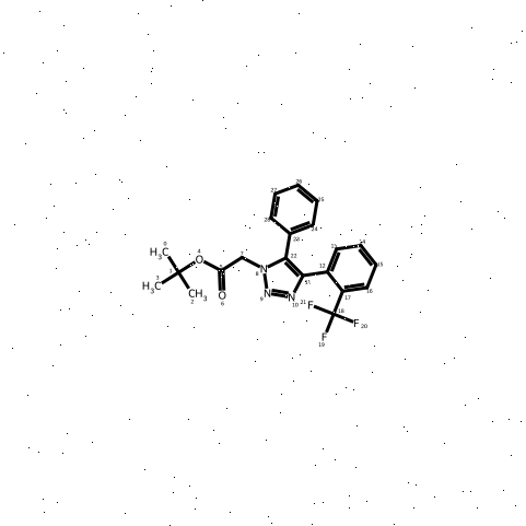 CC(C)(C)OC(=O)Cn1nnc(-c2ccccc2C(F)(F)F)c1-c1ccccc1